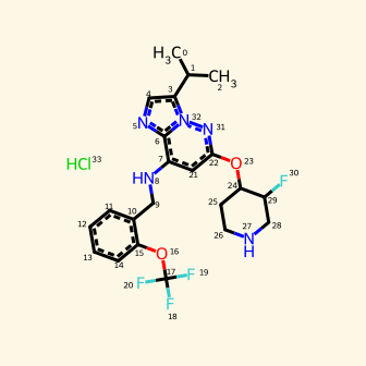 CC(C)c1cnc2c(NCc3ccccc3OC(F)(F)F)cc(OC3CCNCC3F)nn12.Cl